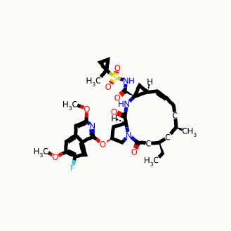 CC[C@H]1CC(=O)N2C[C@H](Oc3nc(OC)cc4cc(OC)c(F)cc34)C[C@H]2C(=O)N[C@]2(C(=O)NS(=O)(=O)C3(C)CC3)C[C@H]2/C=C\CC[C@@H](C)C1